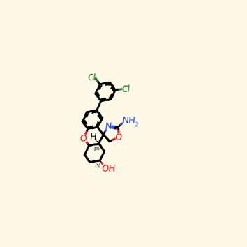 NC1=NC2(CO1)c1cc(-c3cc(Cl)cc(Cl)c3)ccc1OC1CC[C@H](O)C[C@@H]12